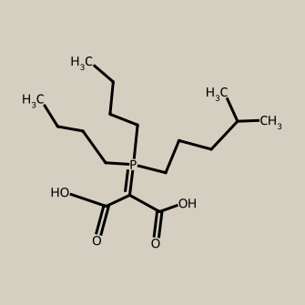 CCCCP(CCCC)(CCCC(C)C)=C(C(=O)O)C(=O)O